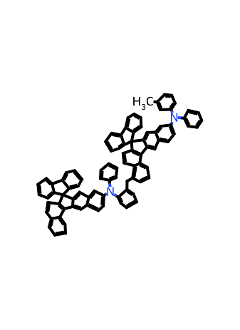 Cc1cccc(N(c2ccccc2)c2ccc3cc4c(cc3c2)C2(c3ccccc3-c3ccccc32)c2ccc3c(Cc5ccccc5N(c5ccccc5)c5ccc6cc7c(cc6c5)C5(c6ccccc6-c6ccccc65)c5ccc6ccccc6c5-7)cccc3c2-4)c1